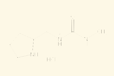 CNC(=O)NCC1CCCN1.Cl